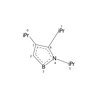 CC(C)c1cbn(C(C)C)c1C(C)C